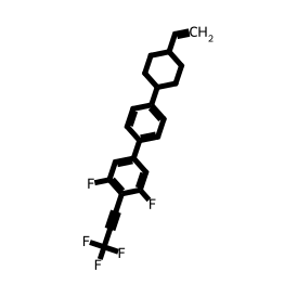 C=CC1CCC(c2ccc(-c3cc(F)c(C#CC(F)(F)F)c(F)c3)cc2)CC1